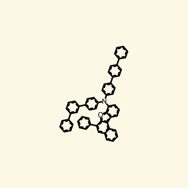 c1ccc(-c2ccc(-c3ccc(N(c4ccc(-c5cccc(-c6ccccc6)c5)cc4)c4cccc5c4oc4c(-c6ccccc6)cc6ccccc6c45)cc3)cc2)cc1